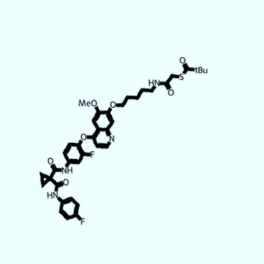 COc1cc2c(Oc3ccc(NC(=O)C4(C(=O)Nc5ccc(F)cc5)CC4)cc3F)ccnc2cc1OCCCCCNC(=O)CSC(=O)C(C)(C)C